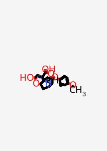 COc1ccc(OC2CC3CCC(/C(=C\C(=O)O)C(=O)O)(C2)N3C)cc1